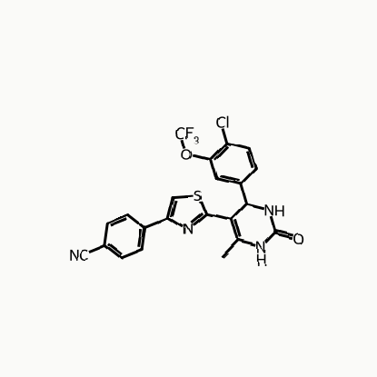 CC1=C(c2nc(-c3ccc(C#N)cc3)cs2)C(c2ccc(Cl)c(OC(F)(F)F)c2)NC(=O)N1